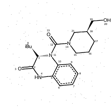 CC[C@H](C)[C@H]1C(=O)Nc2ccccc2N1C(=O)N1CCC[C@H](CO)C1